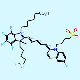 CC1(CCCCS(=O)(=O)O)C(/C=C/C=C/C=C2\C=Cc3cc(F)ccc3N2CCCCS(=O)(=O)[O-])=[N+](CCCCCC(=O)O)c2c(F)c(F)c(F)c(F)c21